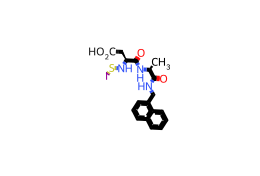 C[C@H](NC(=O)[C@H](CC(=O)O)NSI)C(=O)NCc1cccc2ccccc12